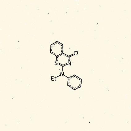 CCN(c1ccccc1)c1nc(=O)c2ccccc2s1